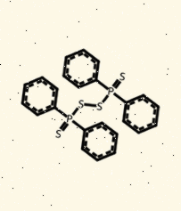 S=P(SSP(=S)(c1ccccc1)c1ccccc1)(c1ccccc1)c1ccccc1